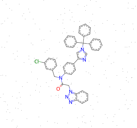 O=C(Cn1nnc2ccccc21)N(Cc1cccc(Cl)c1)c1ccc(-c2cn(C(c3ccccc3)(c3ccccc3)c3ccccc3)cn2)cc1